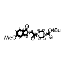 COc1ccc2c(=O)n(CC(=O)N3CCN(C(=O)OC(C)(C)C)CC3)sc2c1